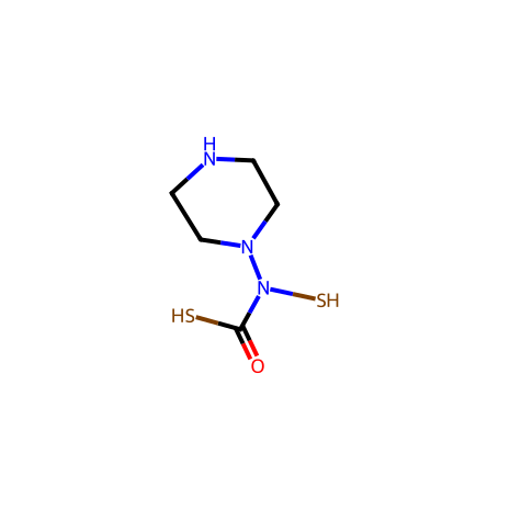 O=C(S)N(S)N1CCNCC1